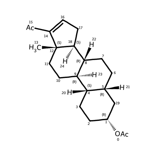 CC(=O)O[C@@H]1CC[C@H]2[C@H](CC[C@@H]3[C@@H]2CC[C@]2(C)C(C(C)=O)=CC[C@@H]32)C1